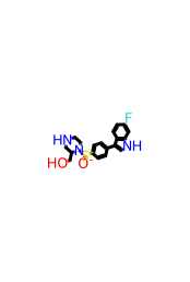 [O-][S+](c1ccc(-c2c[nH]c3cc(F)ccc23)cc1)N1CCNCC1CO